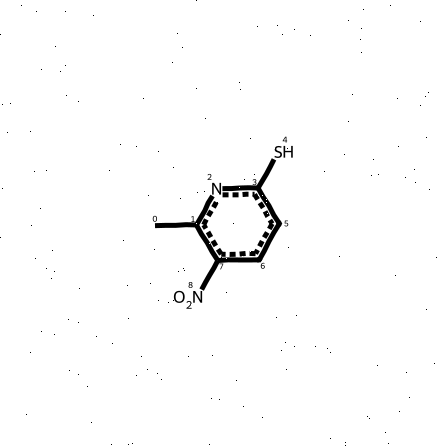 Cc1nc(S)ccc1[N+](=O)[O-]